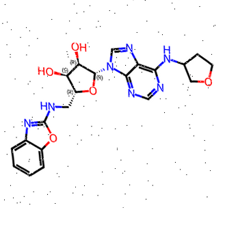 O[C@@H]1[C@H](O)[C@@H](CNc2nc3ccccc3o2)O[C@H]1n1cnc2c(NC3CCOC3)ncnc21